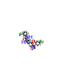 Cc1onc(-c2ccc(Br)cc2)c1C(=O)c1c[nH]c(C(=O)Nc2cccc(F)c2)c1